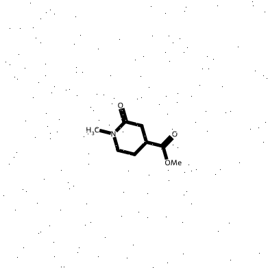 COC(=O)C1CCN(C)C(=O)C1